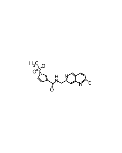 CS(=O)(=O)n1ccc(C(=O)NCc2cc3nc(Cl)ccc3cn2)c1